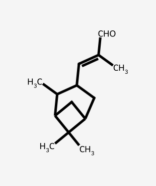 C/C(C=O)=C\C1CC2CC(C1C)C2(C)C